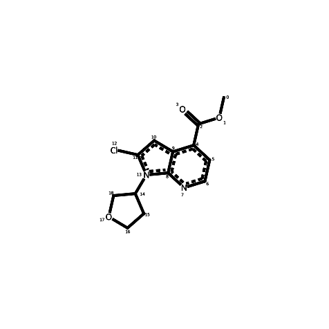 COC(=O)c1ccnc2c1cc(Cl)n2C1CCOC1